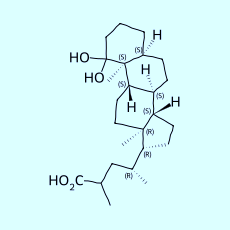 CC(C[C@@H](C)[C@H]1CC[C@H]2[C@@H]3CC[C@@H]4CCCC(O)(O)[C@]4(C)[C@H]3CC[C@]12C)C(=O)O